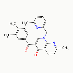 Cc1cccc(Cn2cc(C(=O)c3ccc(C)c(C)c3)c(=O)c3ccc(C)nc32)n1